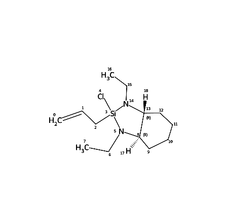 C=CC[Si]1(Cl)N(CC)[C@@H]2CCCC[C@H]2N1CC